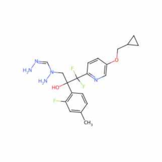 Cc1ccc(C(O)(CN(N)/C=N\N)C(F)(F)c2ccc(OCC3CC3)cn2)c(F)c1